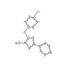 CC(=O)On1nc(-c2ccncc2)cc1Cc1ccc(F)cc1